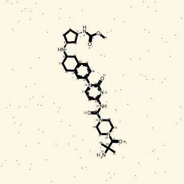 COC(=O)N[C@H]1CC[C@H](NC2CCc3cc(-n4ccc(NC(=O)N5CCN(C(=O)C(C)(C)N)CC5)nc4=O)ccc3C2)C1